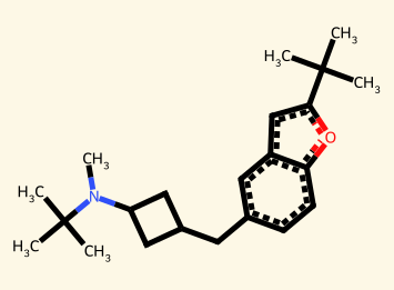 CN(C1CC(Cc2ccc3oc(C(C)(C)C)cc3c2)C1)C(C)(C)C